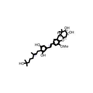 COc1cc(/C=C/c2cc(O)c(C/C=C(\C)CCCC(C)(C)O)c(O)c2)cc2c1O[C@]1(C)C[C@@H](O)[C@@H](O)C(C)(C)[C@H]1C2